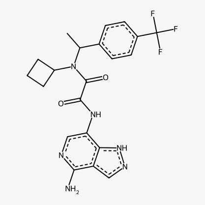 CC(c1ccc(C(F)(F)F)cc1)N(C(=O)C(=O)Nc1cnc(N)c2cn[nH]c12)C1CCC1